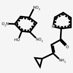 NC(=CC(=O)c1ccccn1)C1CC1.O=[N+]([O-])c1cc([N+](=O)[O-])c(O)c([N+](=O)[O-])c1